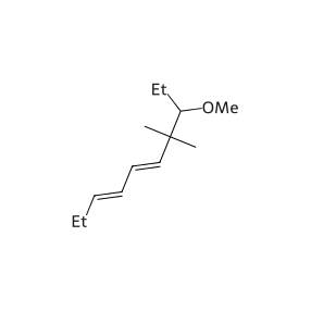 CC/C=C/C=C/C(C)(C)C(CC)OC